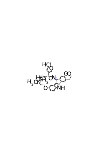 C#CC(O/N=C1/c2cc3c(cc2-c2[nH]c4ccc(OCCN(C)C)cc4c21)CCOO3)c1ccoc1.Cl